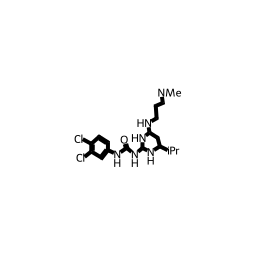 CNCCCNC1CC(C(C)C)NC(NC(=O)Nc2ccc(Cl)c(Cl)c2)N1